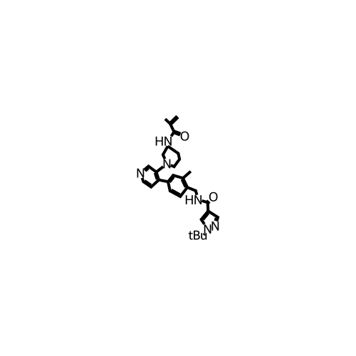 C=C(C)C(=O)NC1CCCN(c2cnccc2-c2ccc(CNC(=O)c3cnn(C(C)(C)C)c3)c(C)c2)C1